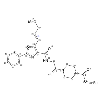 CCCCOC(=O)N1CCN(C(=O)CNC(=O)c2nc(-c3ccccc3)sc2/C=C/COC)CC1